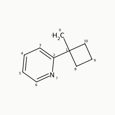 [CH2]C1(c2ccccn2)CCC1